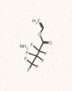 C=COC(=O)C(F)(F)C(F)(F)C(F)(F)F.N